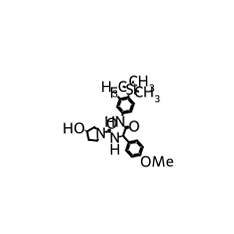 COc1ccc([C@@H](NC(=O)N2CC[C@H](O)C2)C(=O)Nc2ccc([Si](C)(C)C)c(F)c2)cc1